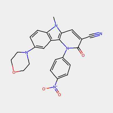 Cn1c2ccc(N3CCOCC3)cc2c2c1cc(C#N)c(=O)n2-c1ccc([N+](=O)[O-])cc1